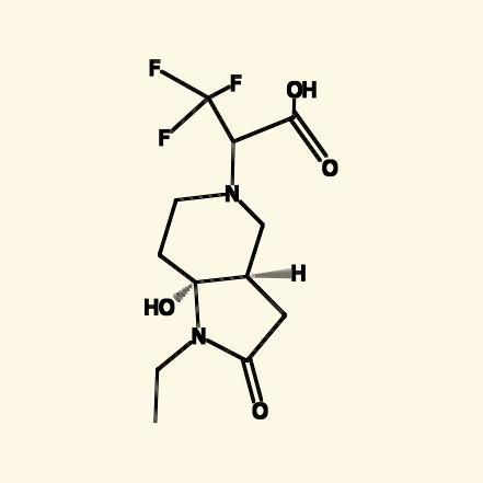 CCN1C(=O)C[C@@H]2CN(C(C(=O)O)C(F)(F)F)CC[C@@]21O